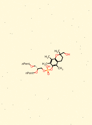 CCCCCOC[C@H](COP(=O)(O)Oc1c(C)c(C)c2c(c1C)CCC(C)(CO)O2)OCCCCC